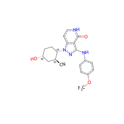 N#C[C@H]1C[C@H](O)CC[C@@H]1n1nc(Nc2ccc(OC(F)(F)F)cc2)c2c(=O)[nH]ccc21